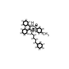 Cc1ccc(S(=O)(=O)N[C@@H](c2ccccc2)[C@@H](NCCCCCc2ccccc2)c2ccccc2)cc1